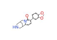 O=c1c(-c2ccc3c(c2)OCO3)ccc2n1CC1CNCC2C1